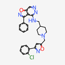 Clc1ccccc1-c1cc(CN2CCC(CNc3nncc4onc(-c5ccccc5)c34)CC2)on1